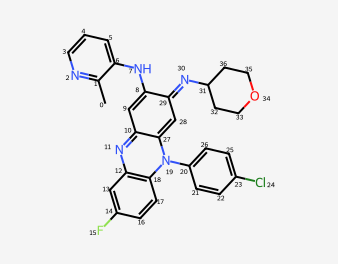 Cc1ncccc1Nc1cc2nc3cc(F)ccc3n(-c3ccc(Cl)cc3)c-2c/c1=N\C1CCOCC1